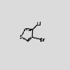 [Li][c]1cscc1Br